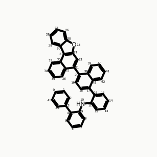 c1ccc(-c2ccccc2Nc2ccccc2-c2ccc(-c3cc4oc5ccccc5c4c4ccccc34)c3ccccc23)cc1